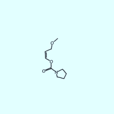 COC/C=C\OC(=O)N1CCCC1